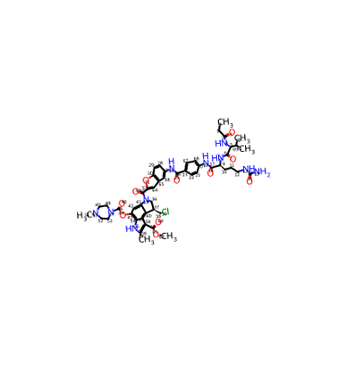 CCC(=O)N[C@H](C(=O)N[C@@H](CCCNC(N)=O)C(=O)Nc1ccc(C(=O)Nc2ccc3oc(C(=O)N4C[C@@H](CCl)c5c4cc(OC(=O)N4CCN(C)CC4)c4[nH]c(C)c(C(=O)OC)c54)cc3c2)cc1)C(C)C